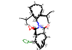 CC(C)c1cccc(C(C)C)c1N1C(=O)c2cccc(Cl)c2C1=O